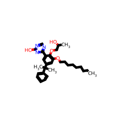 CCCCCCCCCOc1cc(C(C)(C)c2ccccc2)cc(-c2ncnc(O)n2)c1OCC(C)O